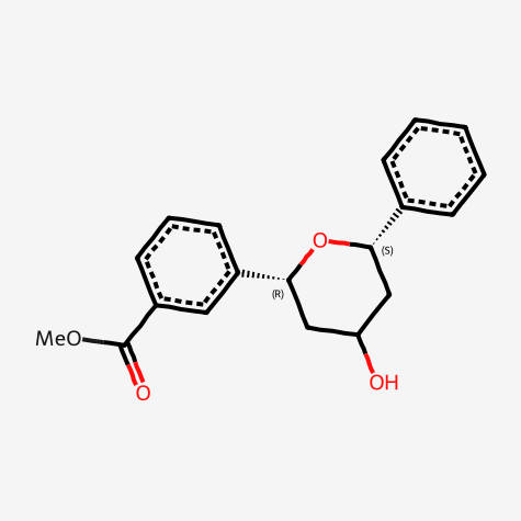 COC(=O)c1cccc([C@H]2CC(O)C[C@@H](c3ccccc3)O2)c1